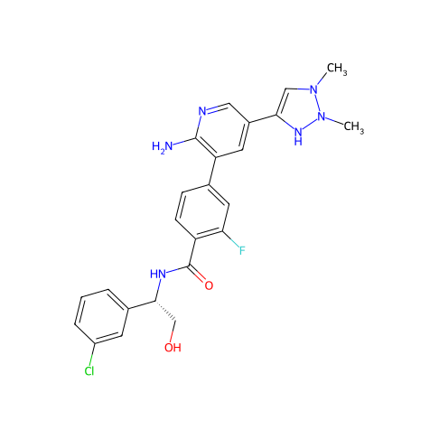 CN1C=C(c2cnc(N)c(-c3ccc(C(=O)N[C@H](CO)c4cccc(Cl)c4)c(F)c3)c2)NN1C